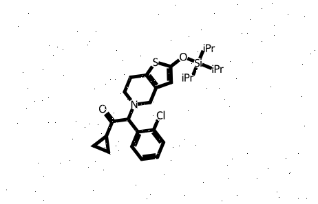 CC(C)[Si](Oc1cc2c(s1)CCN(C(C(=O)C1CC1)c1ccccc1Cl)C2)(C(C)C)C(C)C